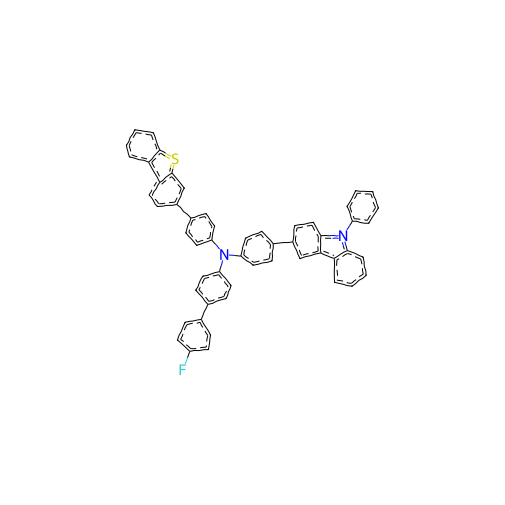 Fc1ccc(-c2ccc(N(c3ccc(-c4ccc5c(c4)sc4ccccc45)cc3)c3ccc(-c4ccc5c(c4)c4ccccc4n5-c4ccccc4)cc3)cc2)cc1